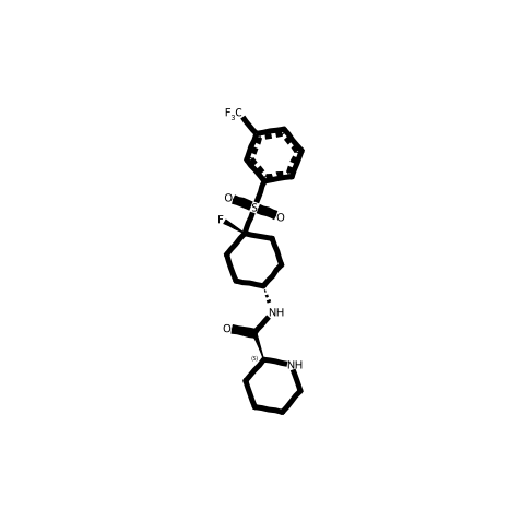 O=C(N[C@H]1CC[C@@](F)(S(=O)(=O)c2cccc(C(F)(F)F)c2)CC1)[C@@H]1CCCCN1